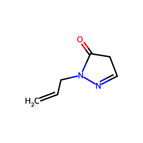 C=CCN1N=CCC1=O